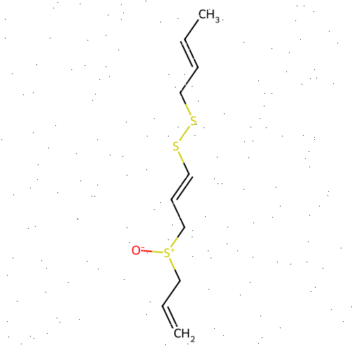 C=CC[S+]([O-])C/C=C/SSC/C=C/C